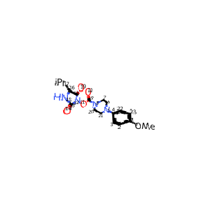 COc1ccc(N2CCN(C(=O)ON3C(=O)NC(C(C)C)C3=O)CC2)cc1